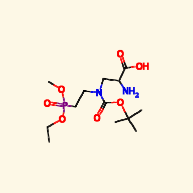 CCOP(=O)(CCN(CC(N)C(=O)O)C(=O)OC(C)(C)C)OC